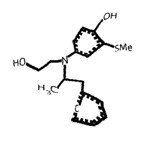 CSc1cc(N(CCO)C(C)Cc2ccccc2)ccc1O